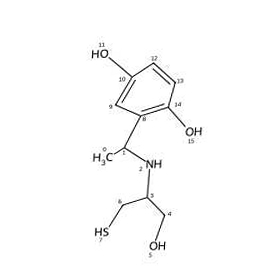 CC(NC(CO)CS)c1cc(O)ccc1O